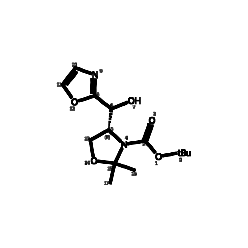 CC(C)(C)OC(=O)N1[C@@H](C(O)c2ncco2)COC1(C)C